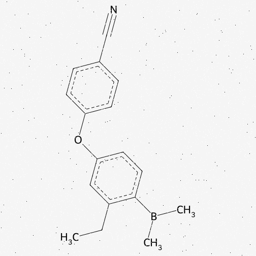 CCc1cc(Oc2ccc(C#N)cc2)ccc1B(C)C